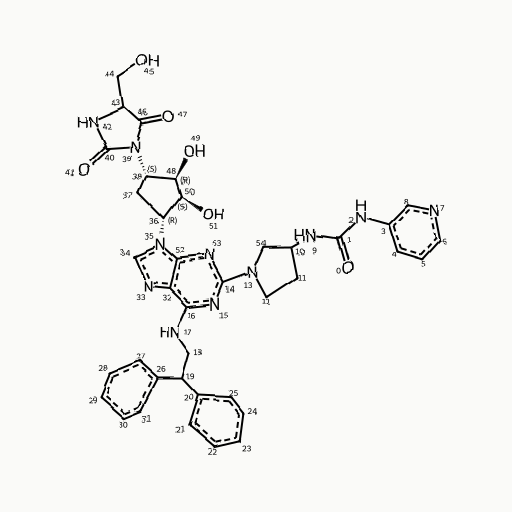 O=C(Nc1cccnc1)NC1CCN(c2nc(NCC(c3ccccc3)c3ccccc3)c3ncn([C@@H]4C[C@H](N5C(=O)NC(CO)C5=O)[C@@H](O)[C@H]4O)c3n2)C1